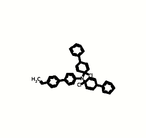 C=Cc1ccc(-c2ccc(N(C3(Cl)C=CC(c4ccccc4)C=C3)C3(Cl)C=CC(c4ccccc4)C=C3)cc2)cc1